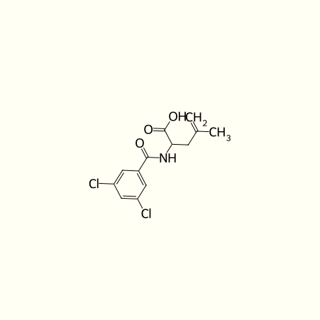 C=C(C)CC(NC(=O)c1cc(Cl)cc(Cl)c1)C(=O)O